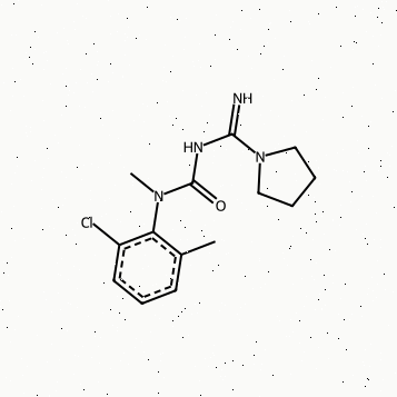 Cc1cccc(Cl)c1N(C)C(=O)NC(=N)N1CCCC1